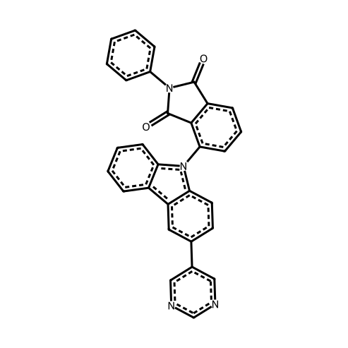 O=C1c2cccc(-n3c4ccccc4c4cc(-c5cncnc5)ccc43)c2C(=O)N1c1ccccc1